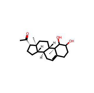 CC(=O)[C@H]1CC[C@H]2[C@@H]3CC=C4CCC(O)C(O)[C@]4(C)[C@H]3CC[C@]12C